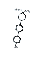 CCCCCC1(C)CCC(c2ccc(-c3ccc(CCC)cc3)cc2)CC1